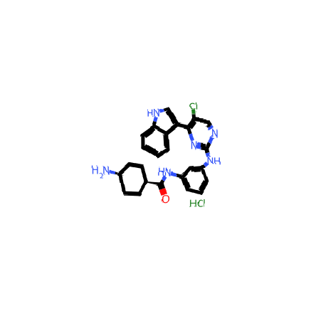 Cl.N[C@H]1CC[C@@H](C(=O)Nc2cccc(Nc3ncc(Cl)c(-c4c[nH]c5ccccc45)n3)c2)CC1